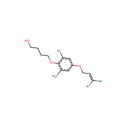 CCc1cc(OCC=C(Br)Br)cc(C)c1OCCCCO